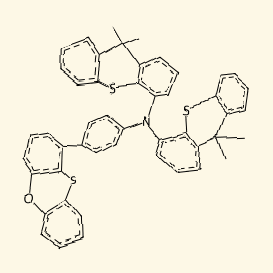 CC1(C)c2ccccc2Sc2c(N(c3ccc(-c4cccc5c4Sc4ccccc4O5)cc3)c3cccc4c3Sc3ccccc3C4(C)C)cccc21